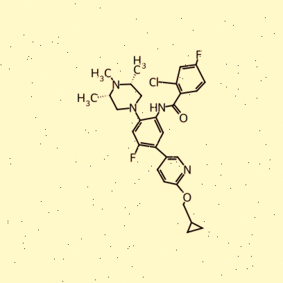 C[C@@H]1CN(c2cc(F)c(-c3ccc(OCC4CC4)nc3)cc2NC(=O)c2ccc(F)cc2Cl)C[C@H](C)N1C